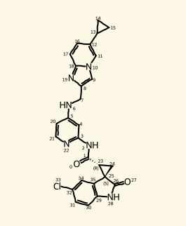 O=C(Nc1cc(NCc2cn3cc(C4CC4)ccc3n2)ccn1)[C@@H]1C[C@]12C(=O)Nc1ccc(Cl)cc12